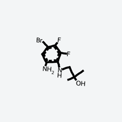 CC(C)(O)CNc1c(N)cc(Br)c(F)c1F